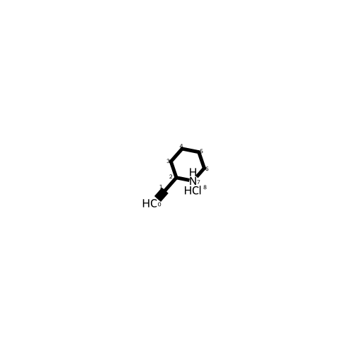 C#CC1CCCCN1.Cl